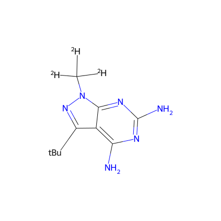 [2H]C([2H])([2H])n1nc(C(C)(C)C)c2c(N)nc(N)nc21